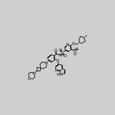 C[C@H]1CC[C@@H](COc2ncc(S(=O)(=O)NC(=O)c3ccc(N4CCC5(CC4)CC(N4CCOCC4)C5)cc3Oc3cnc4[nH]ccc4c3)cc2[N+](=O)[O-])CC1